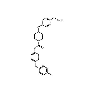 Cc1ccc(Cc2ccc(OC(=O)N3CCC(Oc4ccc(CC(=O)O)cc4)CC3)cc2)nc1